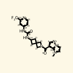 Cn1ccn2ncc(C(=O)N3CC4(CC(NC(=O)Nc5ccnc(C(F)(F)F)c5)C4)C3)c12